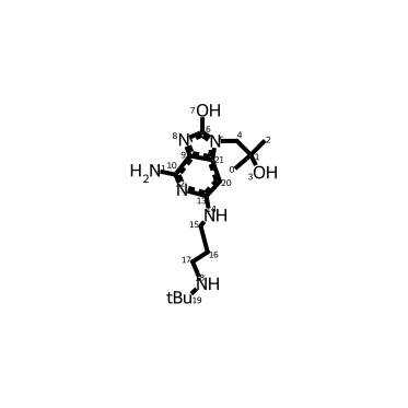 CC(C)(O)Cn1c(O)nc2c(N)nc(NCCCNC(C)(C)C)cc21